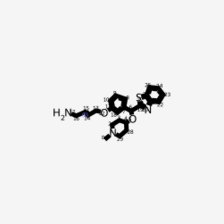 CN1CCC(OC(c2cccc(OC/C=C/CN)c2)c2nc3ccccc3s2)CC1